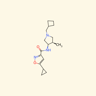 C[C@@H]1CN(CC2CCC2)C[C@@H]1NC(=O)c1cc(C2CC2)on1